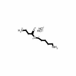 Cl.Cl.NCCCCCOC(=S)CCN